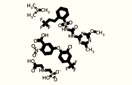 COc1nc(C)nc(NC(=O)NS(=O)(=O)c2ccccc2CCC(F)(F)F)n1.C[S+](C)C.O=C(O)CNCP(=O)([O-])O.O=C(O)c1cc(Oc2ccc(C(F)(F)F)cc2Cl)ccc1[N+](=O)[O-]